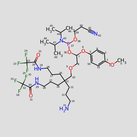 COc1ccc(OC(COCC(CCCN)(CCCNC(=O)C(F)(F)F)CCCNC(=O)C(F)(F)F)OP(OCCC#N)N(C(C)C)C(C)C)cc1